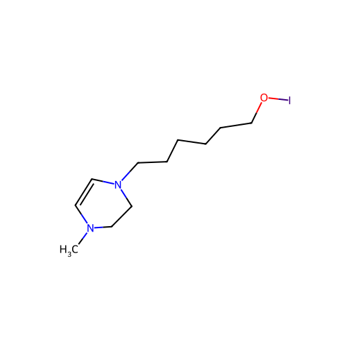 CN1C=CN(CCCCCCOI)CC1